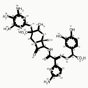 CC1S[C@@H]2C(NC(=O)C(=NO[C@H](C(=O)O)c3ccc(O)c(O)c3)c3csc(N)n3)C(=O)N2CC1(Sc1nc(N)c(N)c(N)n1)C(=O)O